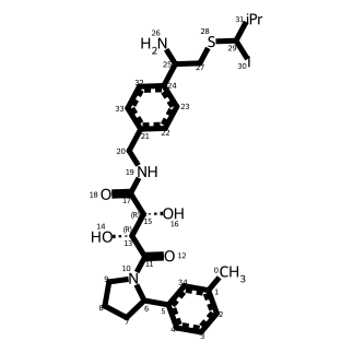 Cc1cccc(C2CCCN2C(=O)[C@H](O)[C@@H](O)C(=O)NCc2ccc(C(N)CSC(I)C(C)C)cc2)c1